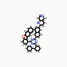 c1ccc(-c2ccccc2-c2nc(-c3ccc4cc(-c5ccc6cnccc6n5)ccc4c3)nc(-c3cccc4oc5cc6ccccc6cc5c34)n2)cc1